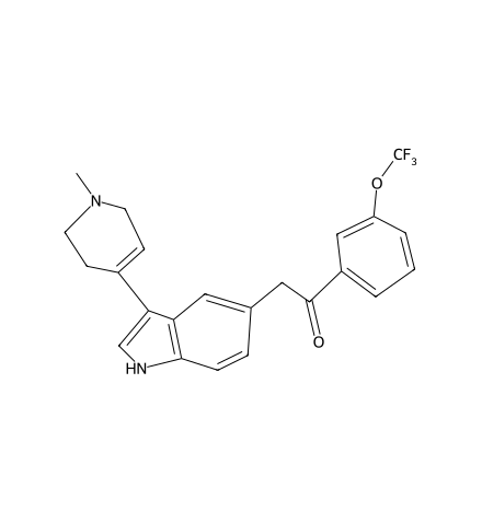 CN1CC=C(c2c[nH]c3ccc(CC(=O)c4cccc(OC(F)(F)F)c4)cc23)CC1